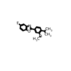 COc1cc(-c2nc3cc(F)ccc3o2)ccc1C(C)C